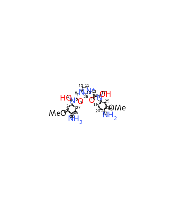 COc1cc(N(O)C(=O)Cn2cc[n+](CC(=O)N(O)c3ccc(N)c(OC)c3)c2)ccc1N